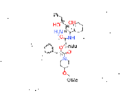 CCCC[C@H](O[C@@H](Cc1ccccc1)C(=O)N1CCC(OCOC)CC1)C(=O)NC(C1CCCCC1)[C@H](N)[C@@H](O)[C@@H](O)CC(C)C